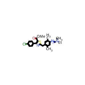 CCN(C)/C=N/c1cc(C)c(Cc2nc(-c3ccc(Cl)cc3)c(C(=O)OC)s2)cc1C